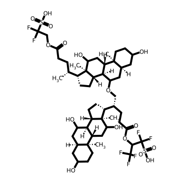 C[C@H](CCC(=O)OCC(F)(F)S(=O)(=O)O)[C@H]1CC[C@H]2[C@@H]3C(OC[C@H](CCC(=O)OC(C(F)(F)F)C(F)(F)S(=O)(=O)O)[C@H]4CC[C@H]5[C@@H]6C(O)C[C@@H]7CC(O)CC[C@]7(C)[C@H]6CC(O)[C@]45C)C[C@@H]4CC(O)CC[C@]4(C)[C@H]3CC(O)[C@]12C